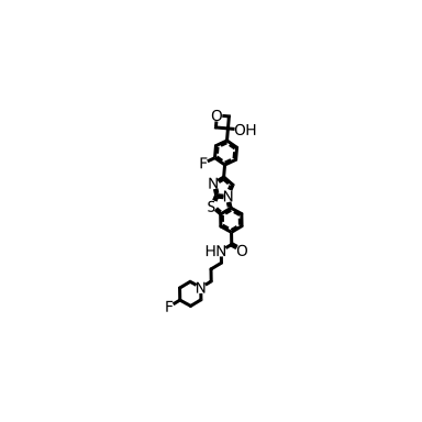 O=C(NCCCN1CCC(F)CC1)c1ccc2c(c1)sc1nc(-c3ccc(C4(O)COC4)cc3F)cn12